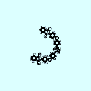 O=C1c2ccccc2C(=O)N1c1ccc(Oc2ccc(-c3nnc(-c4ccc(Oc5ccc(N6C(=O)c7ccccc7C6=O)cc5)cc4)o3)cc2)cc1